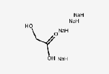 O=C(O)CO.[NaH].[NaH].[NaH].[NaH]